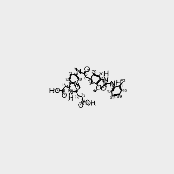 COc1cc(CC(=O)N(C)c2ccc(C(CC(=O)O)NC(=O)CCC(=O)O)nc2)ccc1NC(=O)Nc1ccccc1C